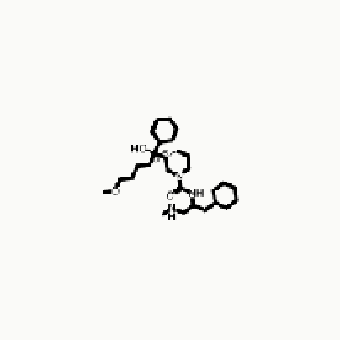 CNCC(CC1CCCCC1)NC(=O)N1CCC[C@@H]([C@](O)(CCCCOC)C2CCCCC2)C1